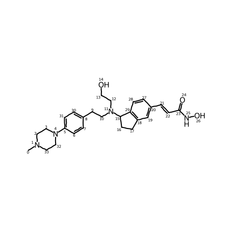 CN1CCN(c2ccc(CCN(CCO)C3CCc4cc(C=CC(=O)NO)ccc43)cc2)CC1